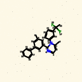 CC1=CC=NC(c2cc(C)cc(-c3ccccc3)c2)N1c1cccc(C(C)(F)F)c1